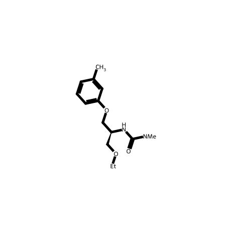 CCOC[C@@H](COc1cccc(C)c1)NC(=O)NC